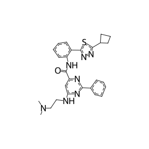 CN(C)CCNc1cc(C(=O)Nc2ccccc2-c2nnc(C3CCC3)s2)nc(-c2ccccc2)n1